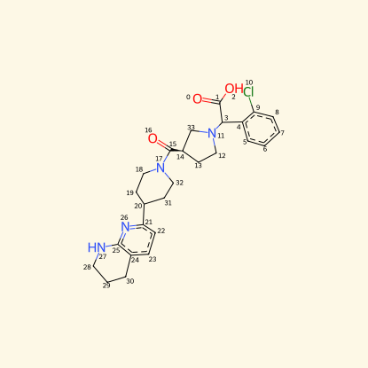 O=C(O)C(c1ccccc1Cl)N1CC[C@@H](C(=O)N2CCC(c3ccc4c(n3)NCCC4)CC2)C1